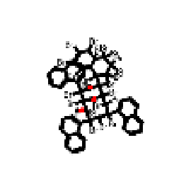 BrC1=C(Br)C(Br)C2(Br)C(=C1Br)C(Br)(C(Br)(Br)C(Br)(Br)C(Br)(Br)C(Br)(c1cccc3ccccc13)C(Br)(Br)C(Br)(c1cccc3ccccc13)C(Br)(Br)C(Br)(Br)C(Br)(Br)c1cccc3ccccc13)C(Br)(Br)C(Br)(Br)C2(Br)Br